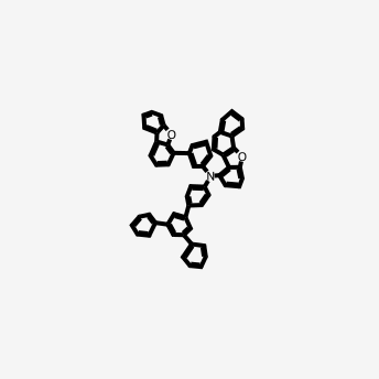 c1ccc(-c2cc(-c3ccccc3)cc(-c3ccc(N(c4cccc(-c5cccc6c5oc5ccccc56)c4)c4cccc5oc6c7ccccc7ccc6c45)cc3)c2)cc1